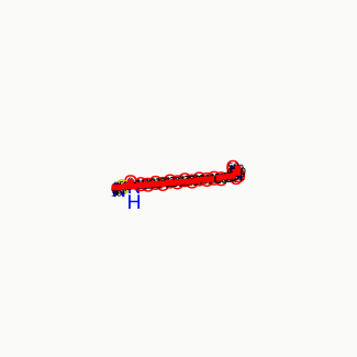 O=C(CCSSc1ccccn1)NCCOCCOCCOCCOCCOCCOCCOCCOCCOCCOCCOCCOCCCCC(=O)ON1C(=O)CCC1=O